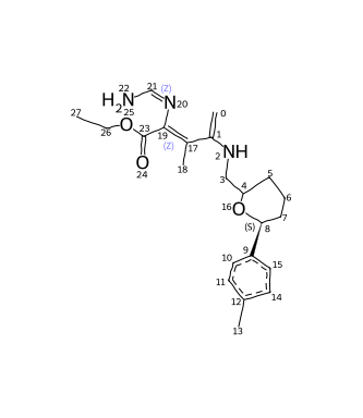 C=C(NCC1CCC[C@@H](c2ccc(C)cc2)O1)/C(C)=C(\N=C/N)C(=O)OCC